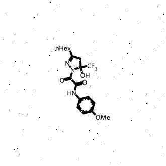 CCCCCCC1=NN(C(=O)C(=O)Nc2ccc(OC)cc2)C(O)(C(F)(F)F)C1